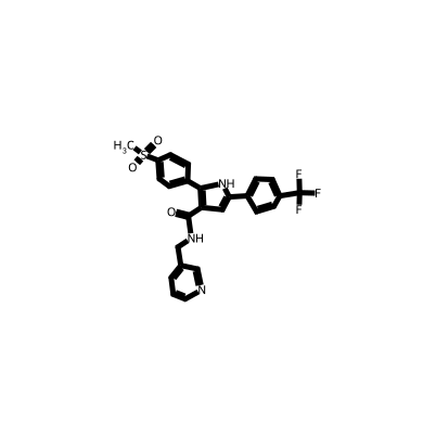 CS(=O)(=O)c1ccc(-c2[nH]c(-c3ccc(C(F)(F)F)cc3)cc2C(=O)NCc2cccnc2)cc1